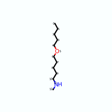 CCCCCOCCCCCNC